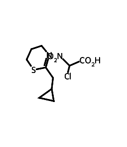 C1CN=C(CC2CC2)SC1.O=C(O)C(Cl)[N+](=O)[O-]